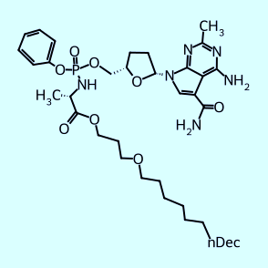 CCCCCCCCCCCCCCCCOCCCOC(=O)[C@H](C)NP(=O)(OC[C@@H]1CC[C@H](n2cc(C(N)=O)c3c(N)nc(C)nc32)O1)Oc1ccccc1